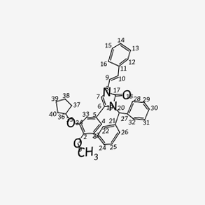 COc1ccc(-c2cn(C=Cc3ccccc3)c(=O)n2C(c2ccccc2)c2ccccc2)cc1OC1CCCC1